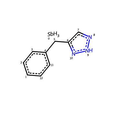 [SbH3].c1ccc(Cc2cn[nH]n2)cc1